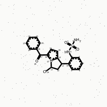 NS(=O)(=O)Nc1ccccc1C1CC(Cl)n2c(C(=O)c3ccccc3)ccc21